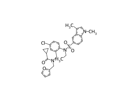 CCN(c1ccc(Cl)cc1CN(Cc1ccco1)C(=O)C1CC1)S(=O)(=O)c1ccc2c(c1)c(C)cn2C